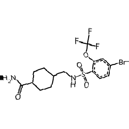 NC(=O)C1CCC(CNS(=O)(=O)c2ccc(Br)cc2OC(F)(F)F)CC1